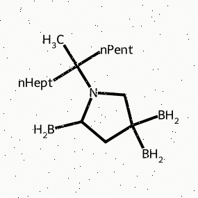 BC1CC(B)(B)CN1C(C)(CCCCC)CCCCCCC